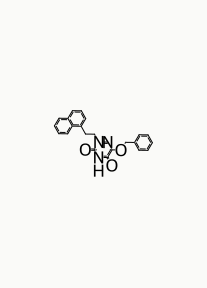 O=c1[nH]c(=O)n(CCc2cccc3ccccc23)nc1OCc1ccccc1